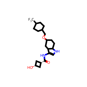 O=C(NC1=CNC2CCC(OCC3CCC(C(F)(F)F)CC3)CC12)[C@H]1C[C@@H](O)C1